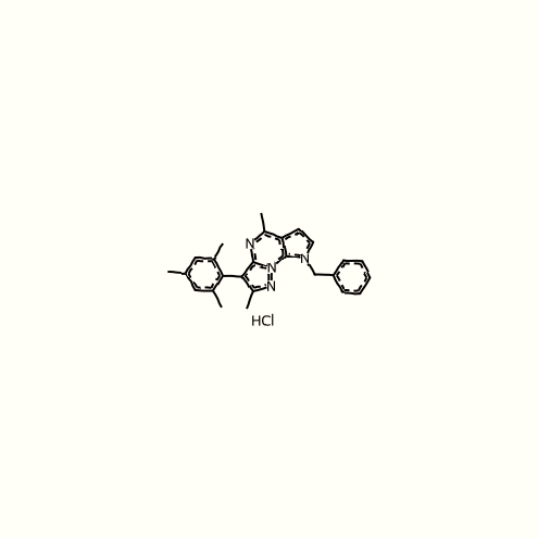 Cc1cc(C)c(-c2c(C)nn3c2nc(C)c2ccn(Cc4ccccc4)c23)c(C)c1.Cl